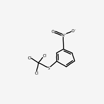 O=[N+]([O-])c1cccc(SC(Cl)(Cl)Cl)c1